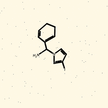 NC(C1=CCCC=C1)n1ccc(I)c1